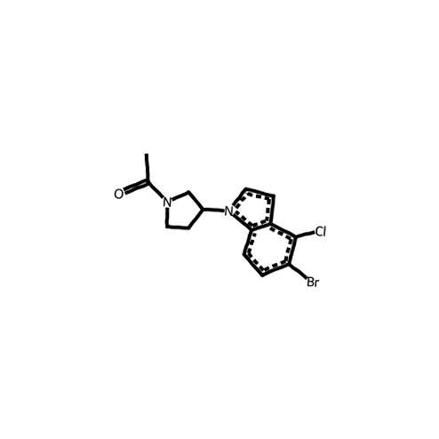 CC(=O)N1CCC(n2ccc3c(Cl)c(Br)ccc32)C1